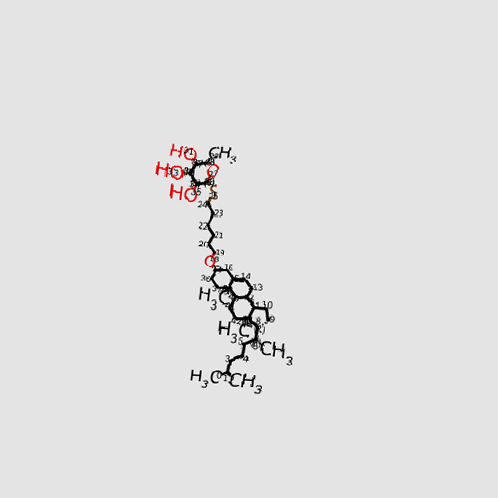 CC(C)CCC[C@@H](C)[C@H]1CCC2C3CC=C4C[C@@H](OCCCCCCS[C@@H]5O[C@@H](C)[C@@H](O)[C@@H](O)[C@@H]5O)CC[C@]4(C)C3CC[C@@]21C